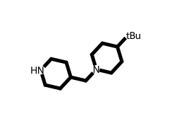 CC(C)(C)C1CCN(CC2CCNCC2)CC1